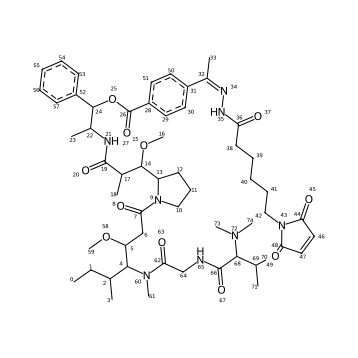 CCC(C)C(C(CC(=O)N1CCCC1C(OC)C(C)C(=O)NC(C)C(OC(=O)c1ccc(/C(C)=N\NC(=O)CCCCCN2C(=O)C=CC2=O)cc1)c1ccccc1)OC)N(C)C(=O)CNC(=O)C(C(C)C)N(C)C